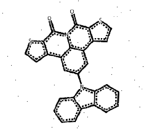 O=c1c2sccc2c2cc(-n3c4ccccc4c4ccccc43)cc3c4ccsc4c(=O)n1c23